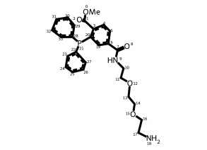 COC(=O)c1ccc(C(=O)NCCOCCOCCN)cc1P(c1ccccc1)c1ccccc1